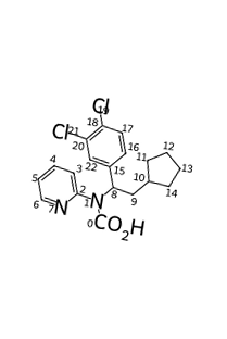 O=C(O)N(c1ccccn1)C(CC1CCCC1)c1ccc(Cl)c(Cl)c1